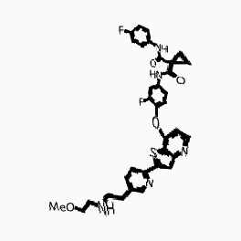 COCCNCCc1ccc(-c2cc3nccc(Oc4ccc(NC(=O)C5(C(=O)Nc6ccc(F)cc6)CC5)cc4F)c3s2)nc1